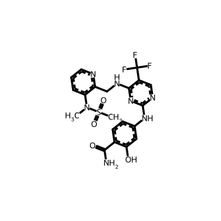 CN(c1cccnc1CNc1nc(Nc2ccc(C(N)=O)c(O)c2)ncc1C(F)(F)F)S(C)(=O)=O